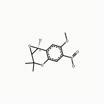 COc1cc2c(cc1[N+](=O)[O-])OC(C)(C)C1O[C@@H]21